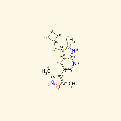 Cc1noc(C)c1-c1cnc2nc(C)n(CC3CCC3)c2c1